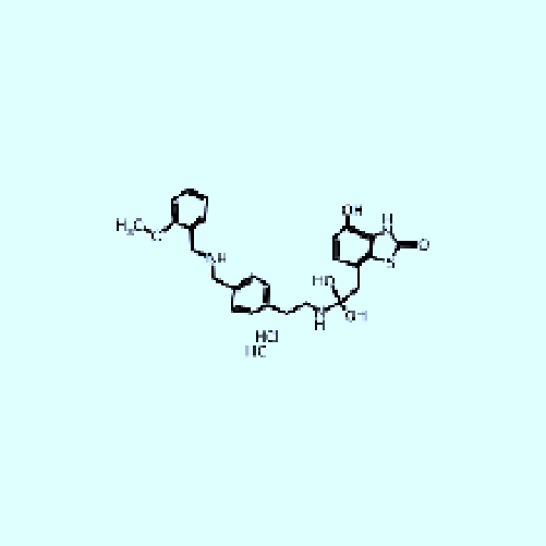 COc1ccccc1CNCc1ccc(CCNC(O)(O)Cc2ccc(O)c3[nH]c(=O)sc23)cc1.Cl.Cl